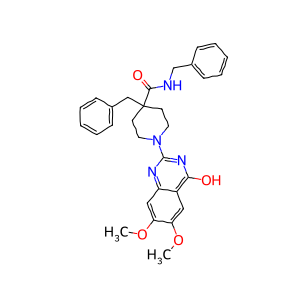 COc1cc2nc(N3CCC(Cc4ccccc4)(C(=O)NCc4ccccc4)CC3)nc(O)c2cc1OC